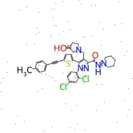 Cc1ccc(C#Cc2ccc(-c3c(CN4CC[C@H](O)C4)c(C(=O)NN4CCCCC4)nn3-c3ccc(Cl)cc3Cl)s2)cc1